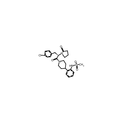 CS(=O)(=O)Nc1ccccc1C1CCN(C(=O)[C@@H](Cc2ccc(Cl)cc2)N2[CH]CCC2=O)CC1